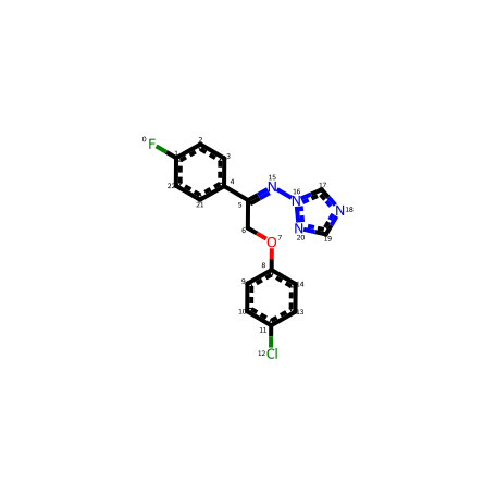 Fc1ccc(C(COc2ccc(Cl)cc2)=Nn2cncn2)cc1